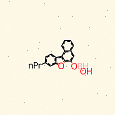 CCCc1ccc2c(c1)oc1c(OBO)cc3ccccc3c12